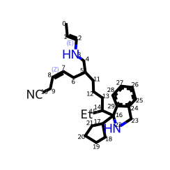 C/C=C/NCC(C/C=C\CC#N)CCCC(CC)C1(C2CCCC2)NCc2ccccc21